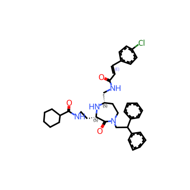 O=C(/C=C/c1ccc(Cl)cc1)NC[C@@H]1CCN(CC(c2ccccc2)c2ccccc2)C(=O)[C@H](CCNC(=O)C2CCCCC2)N1